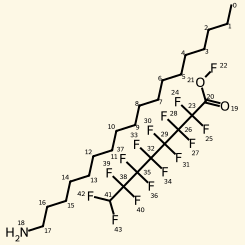 CCCCCCCCCCCCCCCCCCN.O=C(OF)C(F)(F)C(F)(F)C(F)(F)C(F)(F)C(F)(F)C(F)(F)C(F)F